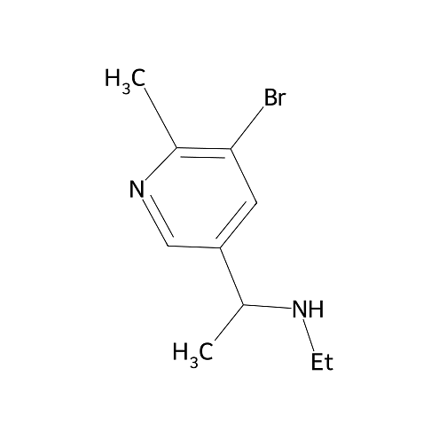 CCNC(C)c1cnc(C)c(Br)c1